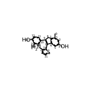 Cc1cc(O)cc2c1CC(c1ccc(O)c(F)c1)=C2c1sccc1N